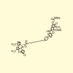 CNC(=O)COc1cc2cc(Nc3nc(N4CCN(CCCCCCCCCCCNC(=O)C[C@@H]5N=C(c6ccc(Cl)cc6)c6c(sc(C)c6C)-n6c(C)nnc65)CC4)ncc3Cl)cc(OC)c2n(C)c1=O